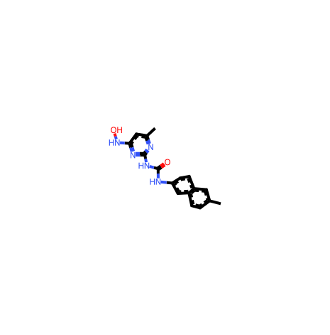 Cc1ccc2cc(NC(=O)Nc3nc(C)cc(NO)n3)ccc2c1